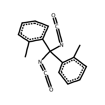 Cc1ccccc1C(N=C=O)(N=C=O)c1ccccc1C